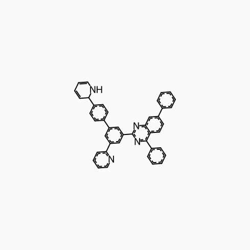 C1=CNC(c2ccc(-c3cc(-c4ccccn4)cc(-c4nc(-c5ccccc5)c5ccc(-c6ccccc6)cc5n4)c3)cc2)C=C1